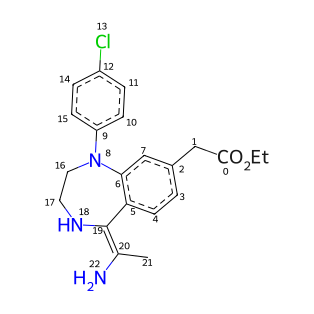 CCOC(=O)Cc1ccc2c(c1)N(c1ccc(Cl)cc1)CCN/C2=C(/C)N